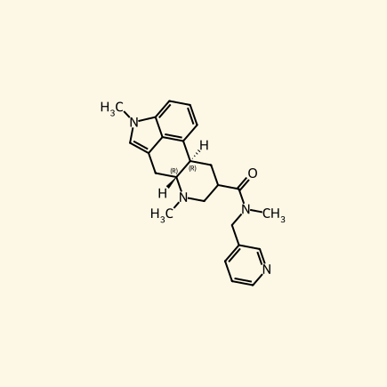 CN(Cc1cccnc1)C(=O)C1C[C@@H]2c3cccc4c3c(cn4C)C[C@H]2N(C)C1